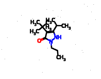 CCCn1[nH]c(C(C)C)c(C(C)(C)C)c1=O